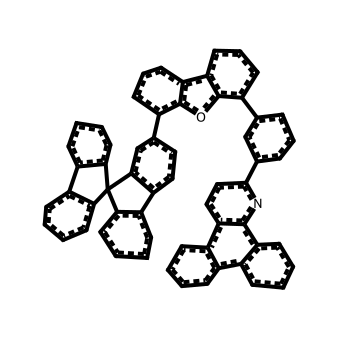 c1cc(-c2ccc3c4ccccc4c4ccccc4c3n2)cc(-c2cccc3c2oc2c(-c4ccc5c(c4)C4(c6ccccc6-c6ccccc64)c4ccccc4-5)cccc23)c1